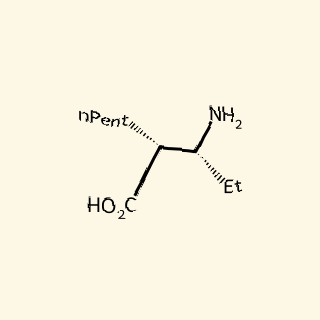 CCCCC[C@@H](C(=O)O)[C@H](N)CC